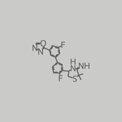 CC1(C)SCC(c2cc(-c3cc(F)cc(-c4nnco4)c3)ccc2F)NC1=N